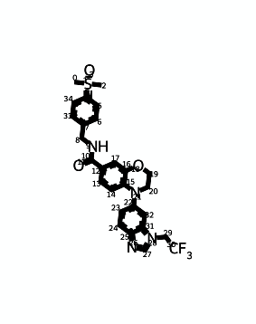 C[SH](C)(=O)c1ccc(CNC(=O)c2ccc3c(c2)OCCN3c2ccc3ncn(CC(F)(F)F)c3c2)cc1